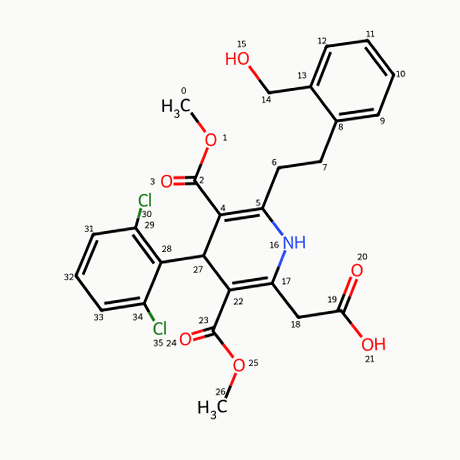 COC(=O)C1=C(CCc2ccccc2CO)NC(CC(=O)O)=C(C(=O)OC)C1c1c(Cl)cccc1Cl